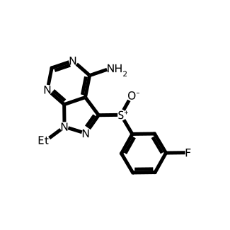 CCn1nc([S+]([O-])c2cccc(F)c2)c2c(N)ncnc21